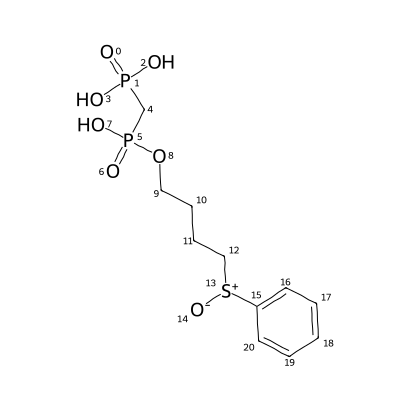 O=P(O)(O)CP(=O)(O)OCCCC[S+]([O-])c1ccccc1